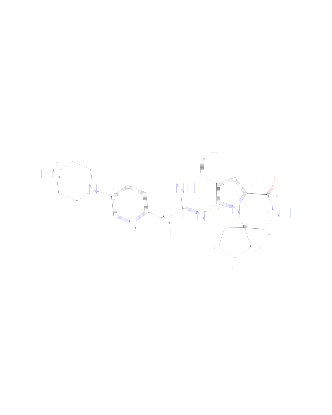 C=Cc1cc2n(c1/N=C(\N)Nc1ccc(N3CCNCC3)cn1)C1(CCCC1)CNC2=O